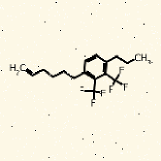 C=CCCCCc1ccc(CCC)c(C(F)(F)F)c1C(F)(F)F